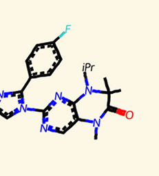 CC(C)N1c2nc(-n3ccnc3-c3ccc(F)cc3)ncc2N(C)C(=O)C1(C)C